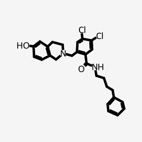 O=C(NCCCCc1ccccc1)c1cc(Cl)c(Cl)cc1CN1CCc2cc(O)ccc2C1